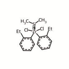 CCc1cccc[c]1[Zr]([Cl])([Cl])([c]1ccccc1CC)[SiH](C)C